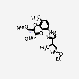 CCONCC(C)c1cnn(-c2ccc(C)c(O/C(=C\OC)C(=O)OC)c2)n1